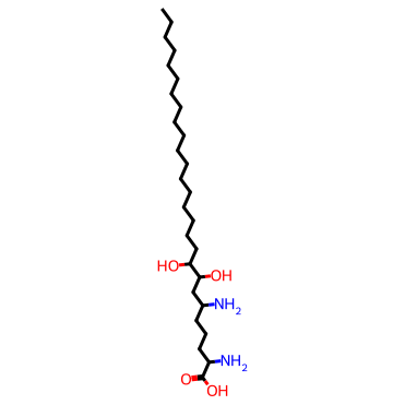 CCCCCCCCCCCCCCCCCCC(O)C(O)CC(N)CCCC(N)C(=O)O